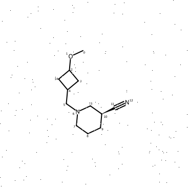 COC1CC(CN2CCC[C@H](C#N)C2)C1